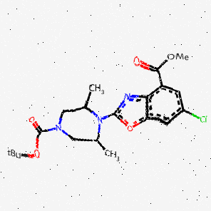 COC(=O)c1cc(Cl)cc2oc(N3C(C)CN(C(=O)OC(C)(C)C)CC3C)nc12